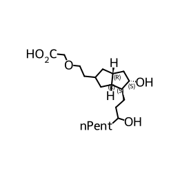 CCCCCC(O)CC[C@H]1[C@@H]2CC(CCOCC(=O)O)C[C@@H]2C[C@@H]1O